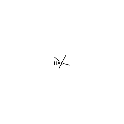 C[AsH](C)(C)C